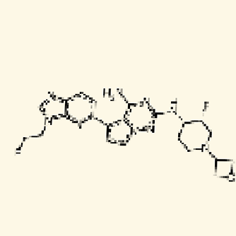 Nc1nc(N[C@H]2CCN(C3COC3)C[C@H]2F)nn2ccc(-c3ccc4ncn(CCF)c4n3)c12